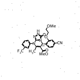 COCCOc1cc(C#N)ccc1[C@H]1C(C(=O)OC)=C(C)N(c2cccc(C(F)(F)F)c2)c2n[nH]c(=O)n21